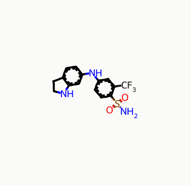 NS(=O)(=O)c1ccc(Nc2ccc3c(c2)NCC3)cc1C(F)(F)F